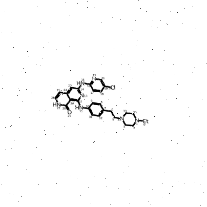 CCN1CCN(CCc2ccc(Nc3nc(Nc4ccc(Cl)cn4)cc4cc[nH]c(=O)c34)cc2)CC1